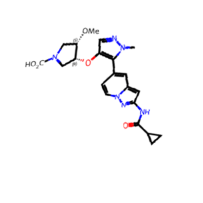 CO[C@H]1CN(C(=O)O)C[C@H]1Oc1cnn(C)c1-c1ccn2nc(NC(=O)C3CC3)cc2c1